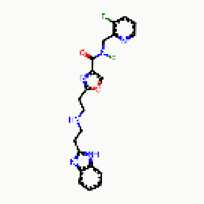 O=C(c1coc(CCNCCc2nc3ccccc3[nH]2)n1)N(F)Cc1ncccc1F